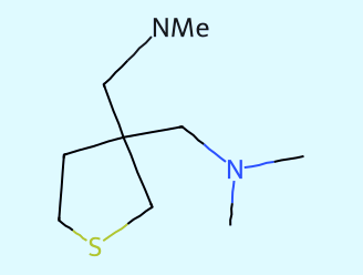 CNCC1(CN(C)C)CCSC1